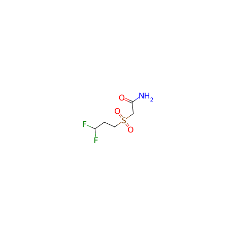 NC(=O)CS(=O)(=O)CCC(F)F